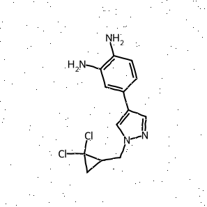 Nc1ccc(-c2cnn(CC3CC3(Cl)Cl)c2)cc1N